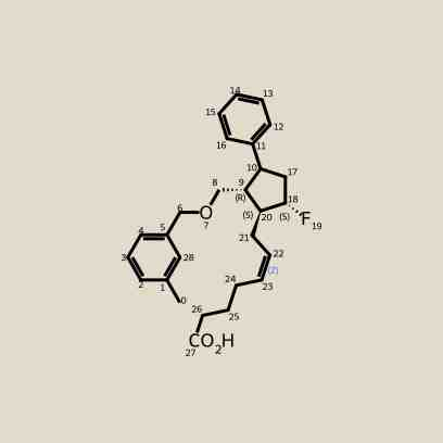 Cc1cccc(COC[C@@H]2C(c3ccccc3)C[C@H](F)[C@H]2C/C=C\CCCC(=O)O)c1